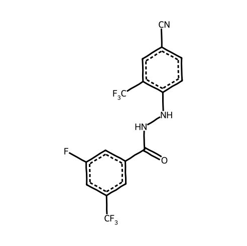 N#Cc1ccc(NNC(=O)c2cc(F)cc(C(F)(F)F)c2)c(C(F)(F)F)c1